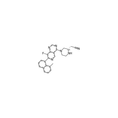 Cc1cccc2cccc(-c3ncc4c(N5CCN[C@@H](CC#N)C5)ncnc4c3F)c12